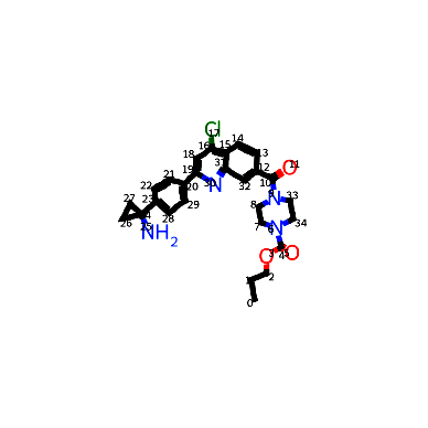 CCCOC(=O)N1CCN(C(=O)c2ccc3c(Cl)cc(-c4ccc(C5(N)CC5)cc4)nc3c2)CC1